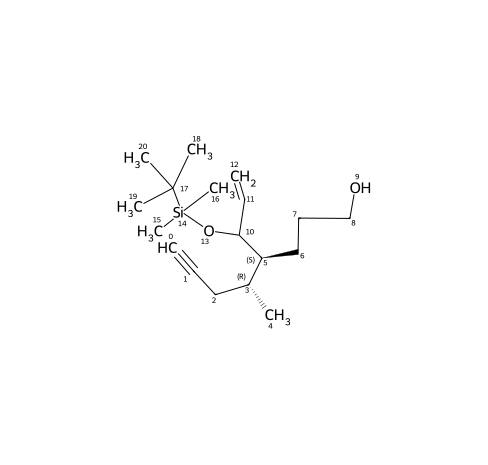 C#CC[C@@H](C)[C@H](CCCO)C(C=C)O[Si](C)(C)C(C)(C)C